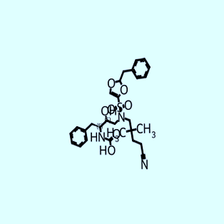 CC(C)(CCC#N)CN(C[C@H](O)[C@H](Cc1ccccc1)NC(=O)O)S(=O)(=O)C1=COC(Cc2ccccc2)O1